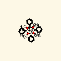 CC[PH](CC)(c1ccccc1)[Pt]([PH](CC)(CC)c1ccccc1)([PH](CC)(CC)c1ccccc1)[PH](CC)(CC)c1ccccc1